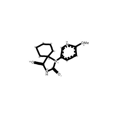 COc1ccc(N2C(=O)NC(=O)C23CCCCC3)cn1